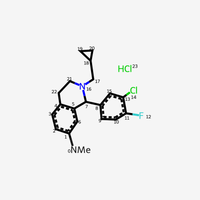 CNc1ccc2c(c1)C(c1ccc(F)c(Cl)c1)N(CC1CC1)CC2.Cl